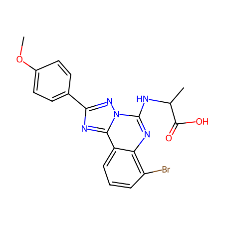 COc1ccc(-c2nc3c4cccc(Br)c4nc(NC(C)C(=O)O)n3n2)cc1